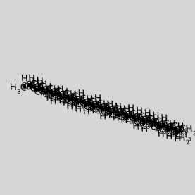 C[SiH2]OO[SiH](C)O[SiH](C)O[SiH](C)O[SiH](C)O[SiH](C)O[SiH](C)O[SiH](C)O[SiH](C)O[SiH](C)O[SiH](C)O[SiH](C)O[SiH](C)O[SiH](C)O[SiH](C)O[SiH](C)O[SiH](C)O[SiH](C)O[SiH](C)O[SiH](C)O[SiH](C)O[SiH](C)O[SiH](C)O[SiH](C)O[SiH](C)O[SiH](C)O[SiH](C)O[SiH](C)O[SiH](C)O[SiH](C)O[SiH](C)O[SiH](C)O[SiH](C)O[SiH](C)O[SiH](C)O[SiH](C)O[SiH](C)O[SiH2]C